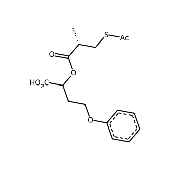 CC(=O)SC[C@@H](C)C(=O)OC(CCOc1ccccc1)C(=O)O